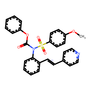 COc1ccc(S(=O)(=O)N(C(=O)Oc2ccccc2)c2ccccc2/C=C/c2ccncc2)cc1